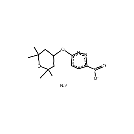 CC1(C)CC(Oc2ccc(S(=O)[O-])nn2)CC(C)(C)O1.[Na+]